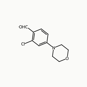 O=[C]c1ccc(N2CCOCC2)cc1Cl